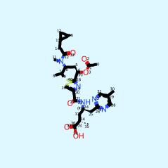 CC(=O)O[C@H](CC(C(C)C)N(C)C(=O)CC1CC1)c1nc(C(=O)N[C@@H](Cc2ncc(C)cn2)C[C@H](C)C(=O)O)cs1